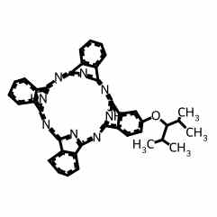 CC(C)C(Oc1ccc2c3nc4nc(nc5[nH]c(nc6nc(nc([nH]3)c2c1)-c1ccccc1-6)c1ccccc51)-c1ccccc1-4)C(C)C